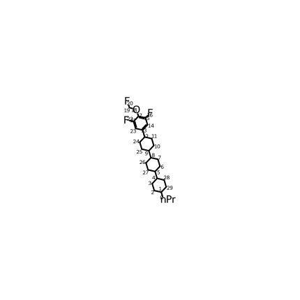 CCCC1CCC(C2CCC(C3CCC(c4cc(F)c(OCF)c(F)c4)CC3)CC2)CC1